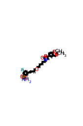 CC1(C)OCc2cc([C@@H]3CN(CCCCCCOCCC#Cc4cc(F)cc(S(N)(=O)=O)c4)C(=O)O3)ccc2O1